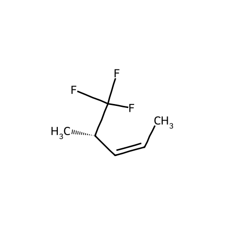 C/C=C\[C@H](C)C(F)(F)F